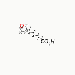 O=C(O)CCCCCCCC1CCCOC1